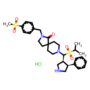 CC(C)S(=O)(=O)C([C@@H]1CNC[C@@H]1c1ccccc1)N1CCC2(CCN(Cc3ccc(S(C)(=O)=O)cc3)C2=O)CC1.Cl